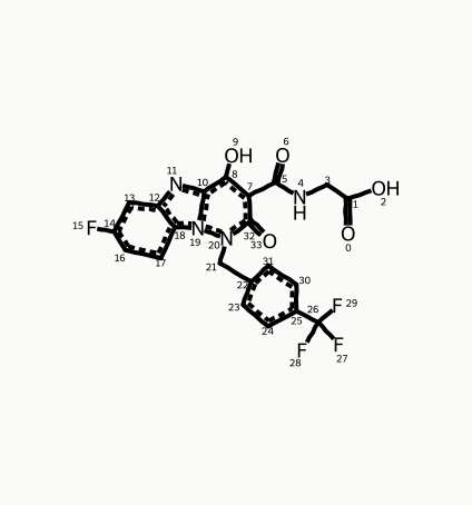 O=C(O)CNC(=O)c1c(O)c2nc3cc(F)ccc3n2n(Cc2ccc(C(F)(F)F)cc2)c1=O